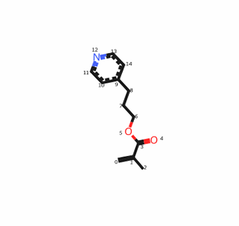 C=C(C)C(=O)OCCCc1ccncc1